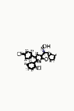 O/N=C1\CC2(CCCC2)Oc2nc(-c3ccccc3Cl)c(-c3ccc(Cl)cc3)cc21